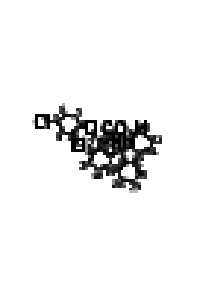 C[C@@](COc1ccc(Cl)cc1Cl)(NC(c1ccccc1)(c1ccccc1)c1ccccc1)C(=O)O